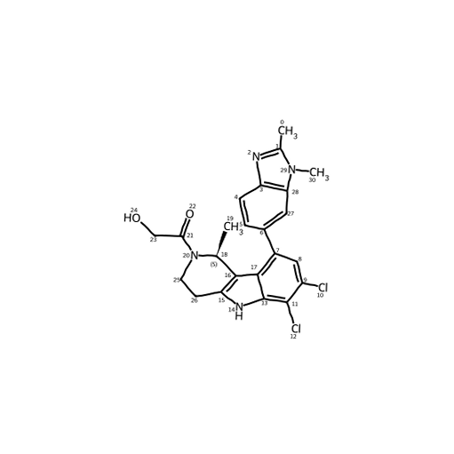 Cc1nc2ccc(-c3cc(Cl)c(Cl)c4[nH]c5c(c34)[C@H](C)N(C(=O)CO)CC5)cc2n1C